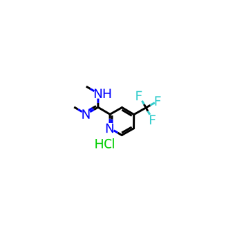 C/N=C(\NC)c1cc(C(F)(F)F)ccn1.Cl